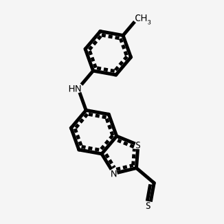 Cc1ccc(Nc2ccc3nc(C=S)sc3c2)cc1